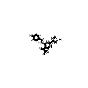 Cc1sc2nc(-c3nc[nH]n3)nc(NCc3ccc(F)cc3)c2c1C